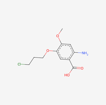 COc1cc(N)c(C(=O)O)cc1OCCCCl